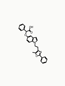 Cc1oc(-c2ccccc2)nc1CCn1ccc2cc(OC(C(=O)O)c3ccccc3)ccc21